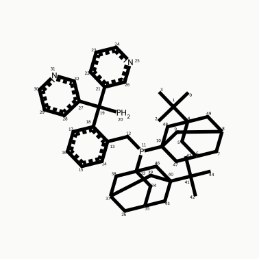 CC(C)(C)C12CC3CC(CC(P(Cc4ccccc4C(P)(c4cccnc4)c4cccnc4)C45CC6CC(C4)CC(C(C)(C)C)(C6)C5)(C3)C1)C2